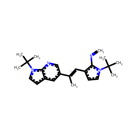 C=Nc1c(/C=C(\C)c2cnc3c(ccn3C(C)(C)C)c2)ccn1C(C)(C)C